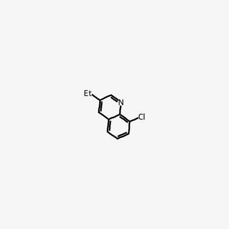 CCc1cnc2c(Cl)cccc2c1